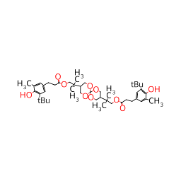 Cc1cc(CCC(=O)OCC(C)(C)C2COC3(OC2)OCC(C(C)(C)COC(=O)CCc2cc(C)c(O)c(C(C)(C)C)c2)CO3)cc(C(C)(C)C)c1O